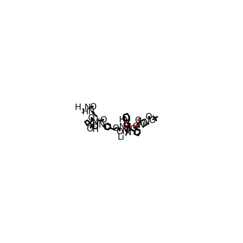 COCOc1ccccc1-c1cc(N2CC3CCC(C2)N3c2ccnc(OCCN3CCN(C(=O)OC(C)(C)C)CC3C)c2)c(NC(=O)OCc2ccc(NC(=O)[C@H](CCCNC(N)=O)NC(=O)C3(C(=O)[O-])CCC3)cc2)nn1.[Li+]